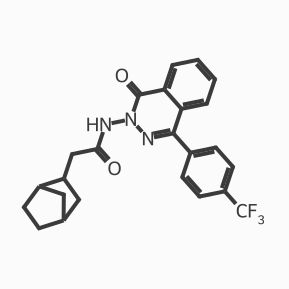 O=C(CC1CC2CCC1C2)Nn1nc(-c2ccc(C(F)(F)F)cc2)c2ccccc2c1=O